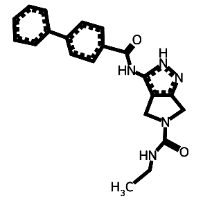 CCNC(=O)N1Cc2n[nH]c(NC(=O)c3ccc(-c4ccccc4)cc3)c2C1